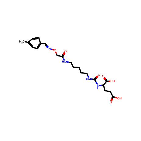 Cc1ccc(C=NOCC(=O)NCCCCCNC(=O)NC(CCC(=O)O)C(=O)O)cc1